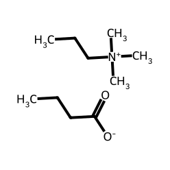 CCCC(=O)[O-].CCC[N+](C)(C)C